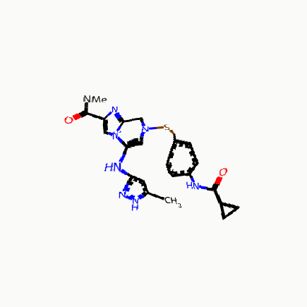 CNC(=O)C1=C[N+]2C(Nc3cc(C)[nH]n3)=CN(Sc3ccc(NC(=O)C4CC4)cc3)CC2=N1